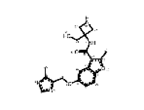 Cc1ncsc1COc1ccc2oc(C)c(C(=O)NC3(CO)CNC3)c2c1